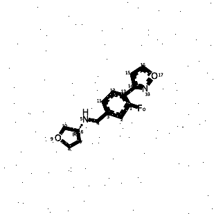 Fc1cc(CN[C@@H]2CCOC2)ccc1-c1ccon1